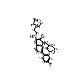 O=c1c(NCCN2CCOCC2)nc2ncc(-c3ccc(F)cc3)cc2n1CC1CCOCC1